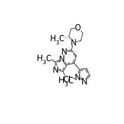 Cc1nc(Cl)c2c(-c3ccnn3C)cc(N3CCOC[C@H]3C)nn12